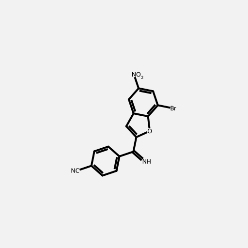 N#Cc1ccc(C(=N)c2cc3cc([N+](=O)[O-])cc(Br)c3o2)cc1